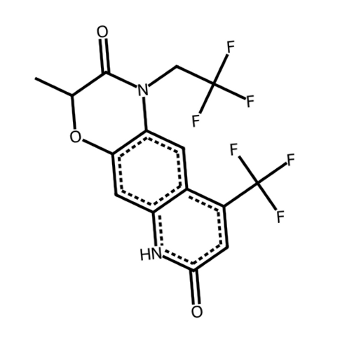 CC1Oc2cc3[nH]c(=O)cc(C(F)(F)F)c3cc2N(CC(F)(F)F)C1=O